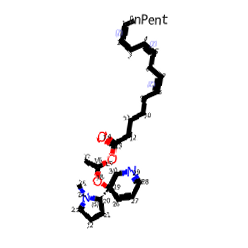 CCCCC/C=C\C/C=C\C/C=C\CCCCC(=O)OC(C)OC1([C@@H]2CCCN2C)C=CC=NC1